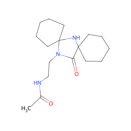 CC(=O)NCCN1C(=O)C2(CCCCC2)NC12CCCCC2